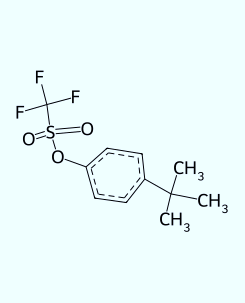 CC(C)(C)c1ccc(OS(=O)(=O)C(F)(F)F)cc1